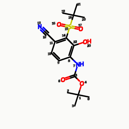 CC(C)(C)OC(=O)Nc1ccc(C#N)c(S(=O)(=O)C(C)(C)C)c1O